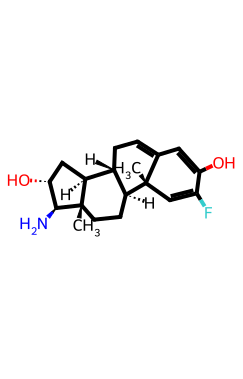 C[C@]12CC[C@H]3[C@@H](CC=C4C=C(O)C(F)=C[C@@]43C)[C@@H]1C[C@@H](O)[C@@H]2N